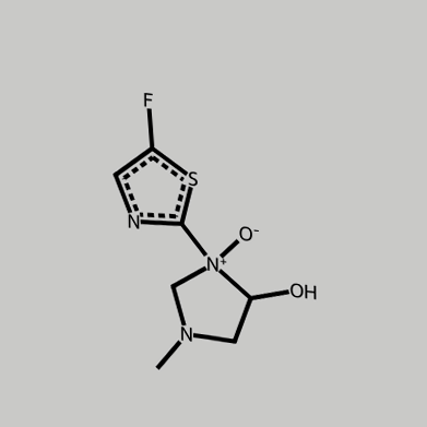 CN1CC(O)[N+]([O-])(c2ncc(F)s2)C1